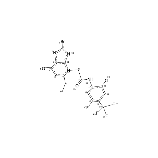 CCc1cc(=O)n2nc(Br)nc2n1CC(=O)Nc1cc(F)c(C(F)(F)F)cc1Cl